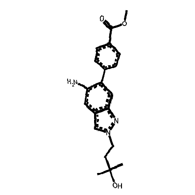 COC(=O)c1ccc(-c2cc3nn(CCC(C)(C)O)cc3cc2N)cc1